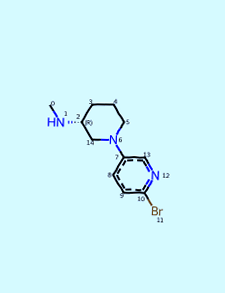 CN[C@@H]1CCCN(c2ccc(Br)nc2)C1